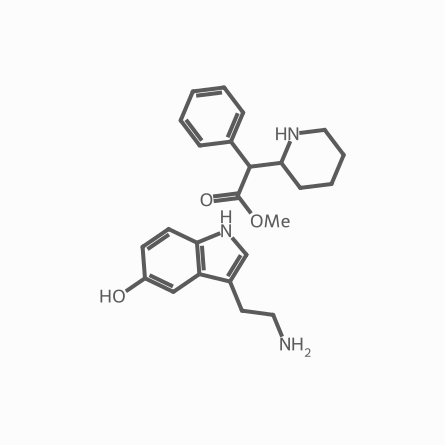 COC(=O)C(c1ccccc1)C1CCCCN1.NCCc1c[nH]c2ccc(O)cc12